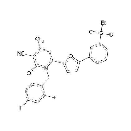 CCS(=O)(=O)c1cccc(-c2ccc(-c3cc(C(F)(F)F)c(C#N)c(=O)n3Cc3ccc(F)cc3F)o2)c1